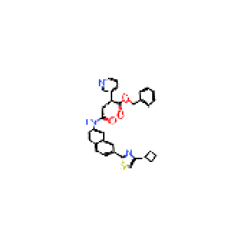 O=C(CC(C(=O)OCc1ccccc1)c1cccnc1)Nc1ccc2ccc(-c3nc(C4CCC4)cs3)cc2c1